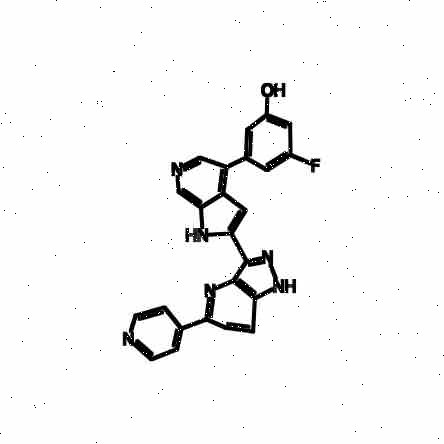 Oc1cc(F)cc(-c2cncc3[nH]c(-c4n[nH]c5ccc(-c6ccncc6)nc45)cc23)c1